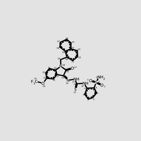 NS(=O)(=O)c1ccccc1NC(=S)NN=C1C(=O)N(Cc2cccc3ccccc23)c2ccc(OC(F)(F)F)cc21